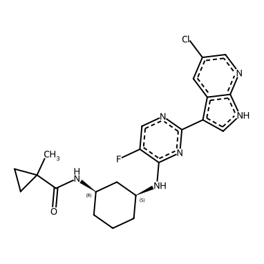 CC1(C(=O)N[C@@H]2CCC[C@H](Nc3nc(-c4c[nH]c5ncc(Cl)cc45)ncc3F)C2)CC1